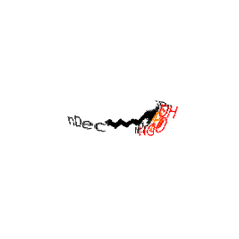 CCCCCCCCCCCCCCCCCC(C(C)C)(C(C)C)P(=O)(O)O